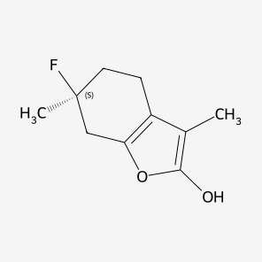 Cc1c(O)oc2c1CC[C@](C)(F)C2